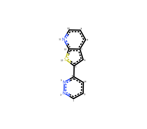 c1cnnc(-c2cc3cccnc3s2)c1